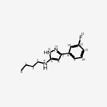 CCCCNc1cc(-c2cccc(F)c2)n[nH]1